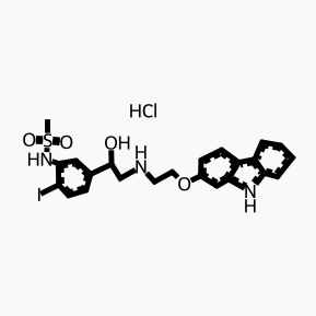 CS(=O)(=O)Nc1cc(C(O)CNCCOc2ccc3c(c2)[nH]c2ccccc23)ccc1I.Cl